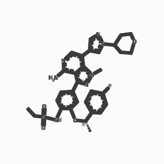 CCS(=O)(=O)Nc1ccc(-c2nn(C)c3c(-c4cnn(C5CCOCC5)c4)cnc(N)c23)cc1O[C@@H](C)c1ccc(F)cc1